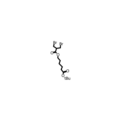 CC(C)(C)OC(=O)CCCCCOC(=O)C(CBr)CBr